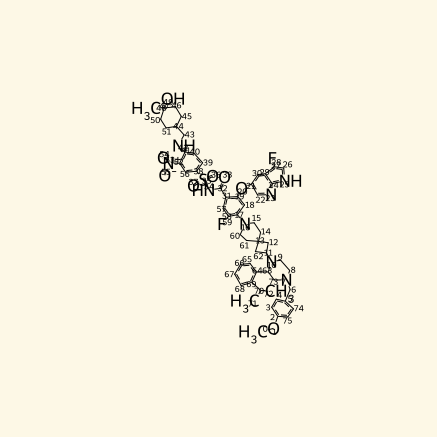 COc1ccc(CN2CCN(C3CC4(CCN(c5cc(Oc6cnc7[nH]cc(F)c7c6)c(C(=O)NS(=O)(=O)c6ccc(NCC7CCC(C)(O)CC7)c([N+](=O)[O-])c6)cc5F)CC4)C3)C(c3ccccc3C(C)C)C2)cc1